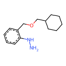 NNc1ccccc1COCC1CCCCC1